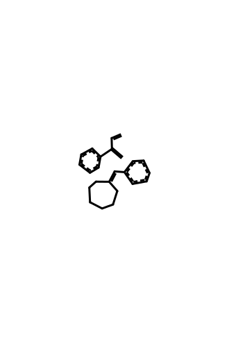 C(=C1CCCCCC1)c1ccccc1.C=CC(=C)c1ccccc1